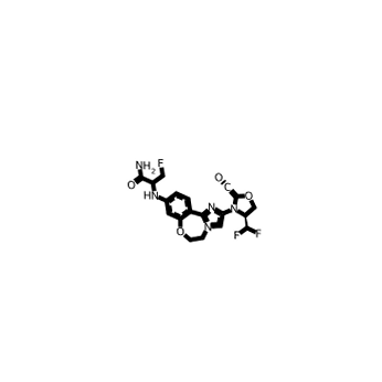 NC(=O)C(CF)Nc1ccc2c(c1)OCCn1cc(N3C(=C=O)OC[C@H]3C(F)F)nc1-2